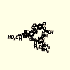 C#CCOc1cc(-n2nc3n(c2=O)CCCC3)c(Cl)cc1Cl.CCNc1nc(Cl)nc(NC(C)(C)C)n1.C[S+](C)C.O=C(O)CNCP(=O)([O-])O